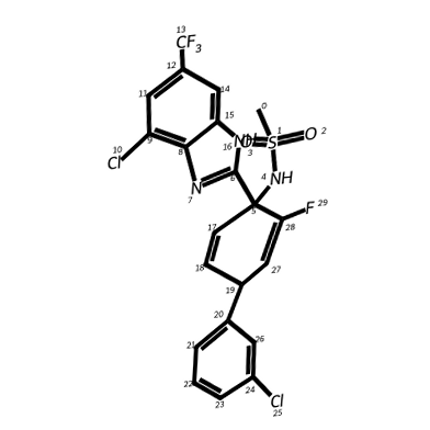 CS(=O)(=O)NC1(c2nc3c(Cl)cc(C(F)(F)F)cc3[nH]2)C=CC(c2cccc(Cl)c2)C=C1F